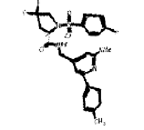 CNc1cc(CNC(=O)[C@@H]2CC(F)(F)CN2S(=O)(=O)c2ccc(F)cc2)cc(-c2ccc(C)cc2)n1